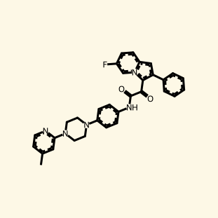 Cc1ccnc(N2CCN(c3ccc(NC(=O)C(=O)c4c(-c5ccccc5)cc5ccc(F)cn45)cc3)CC2)c1